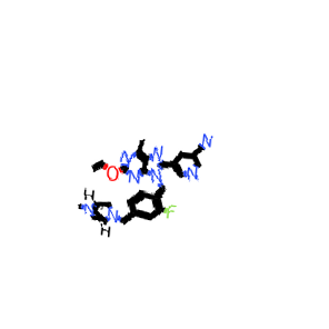 CCOc1nc(C)c2nc(-c3cncc(C#N)c3)n(Cc3ccc(CN4C[C@@H]5C[C@H]4CN5C)cc3F)c2n1